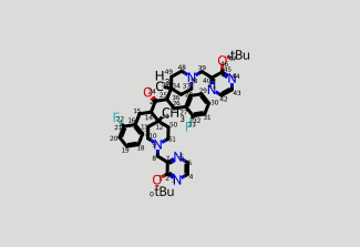 CC(C)(C)Oc1nccnc1CN1CCC(C)(C(Cc2ccccc2F)C(=O)C(Cc2ccccc2F)C2(C)CCN(Cc3nccnc3OC(C)(C)C)CC2)CC1